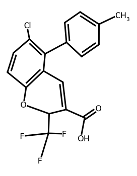 Cc1ccc(-c2c(Cl)ccc3c2C=C(C(=O)O)C(C(F)(F)F)O3)cc1